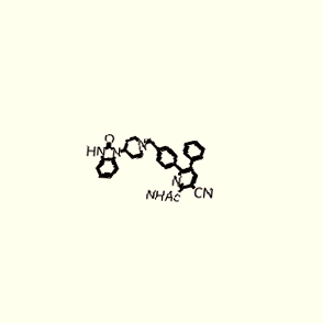 CC(=O)Nc1nc(-c2ccc(CN3CCC(n4c(=O)[nH]c5ccccc54)CC3)cc2)c(-c2ccccc2)cc1C#N